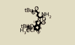 CC(C)(C)OC(=O)CCC(C(N)=O)N1Cc2c(O[Si](C)(C)C(C)(C)C)cccc2C1=O